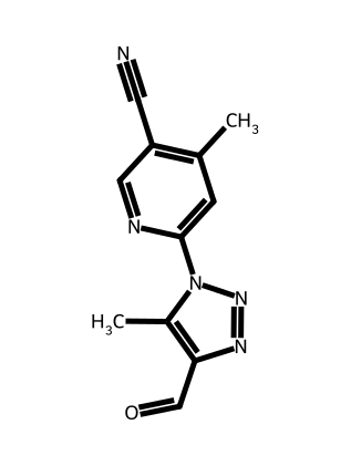 Cc1cc(-n2nnc(C=O)c2C)ncc1C#N